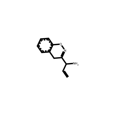 C=CC(N)C1=NOc2ccccc2C1